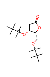 CC(C)(C)[Si](C)(C)OC[C@H]1OC(=O)C[C@H]1O[Si](C)(C)C(C)(C)C